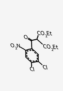 CCOC(=O)C(C(=O)OCC)C(=O)c1cc(Cl)c(Cl)cc1[N+](=O)[O-]